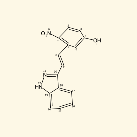 O=[N+]([O-])c1ccc(O)cc1C=Cc1n[nH]c2ccccc12